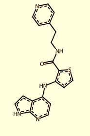 O=C(NCCc1ccncc1)c1sccc1Nc1ccnc2[nH]ccc12